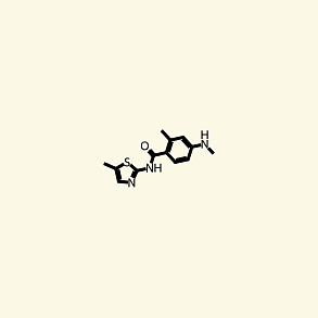 CNc1ccc(C(=O)Nc2ncc(C)s2)c(C)c1